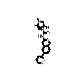 CN1C[C@H]2C[C@@H]1CN2C(=O)Nc1cc2cc(-c3cccnn3)ccc2cn1